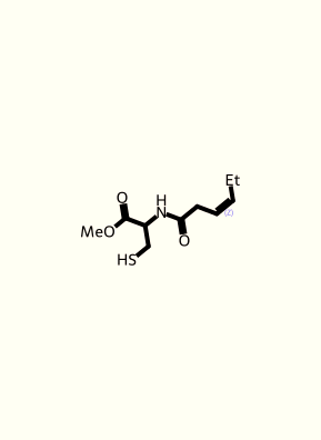 CC/C=C\CC(=O)NC(CS)C(=O)OC